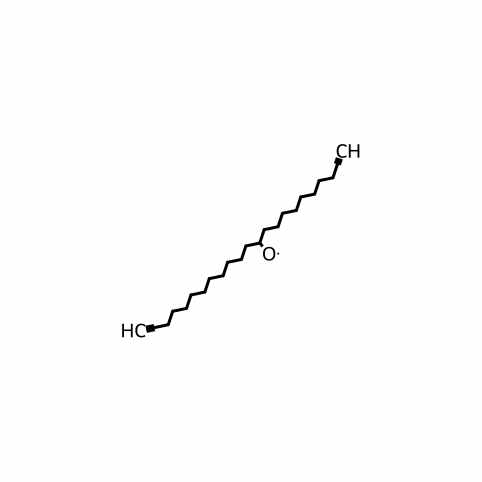 C#CCCCCCCCCCCC([O])CCCCCCCCC#C